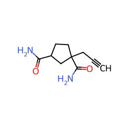 C#CCC1(C(N)=O)CCC(C(N)=O)C1